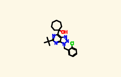 CC(C)(C)c1nc(C2(O)CCCCCC2)c2nnn(Cc3ccccc3Cl)c2n1